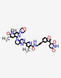 Cc1cc(-c2ncc3c(n2)CCCN3c2nc(N3CCOCC3)cc3c2cc(C)c(=O)n3C)cnc1C(=O)NCC#Cc1ccc2occ(C3CCC(=O)NC3=O)c2c1